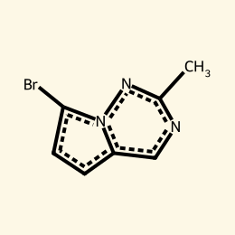 Cc1ncc2ccc(Br)n2n1